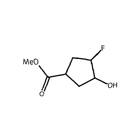 COC(=O)C1CC(O)C(F)C1